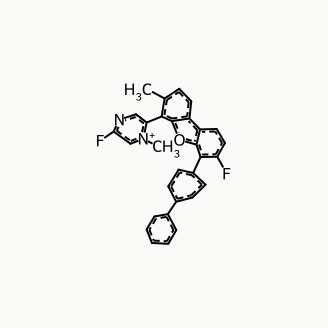 Cc1ccc2c(oc3c(-c4ccc(-c5ccccc5)cc4)c(F)ccc32)c1-c1cnc(F)c[n+]1C